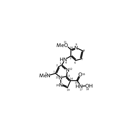 CNc1cc(Nc2cccnc2OC)nc2c(C(=O)NO)cnn12